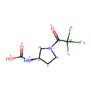 O=C(O)N[C@@H]1CCN(C(=O)C(F)(F)F)C1